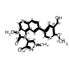 COc1ncc(-c2ccc3ncc4c(c3c2)n(-c2cn(C)nc2Cl)c(=O)n4C)cc1CO